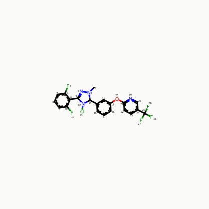 CN1N=C(c2c(F)cccc2F)N(Cl)C1c1cccc(Oc2ccc(C(F)(F)F)cn2)c1